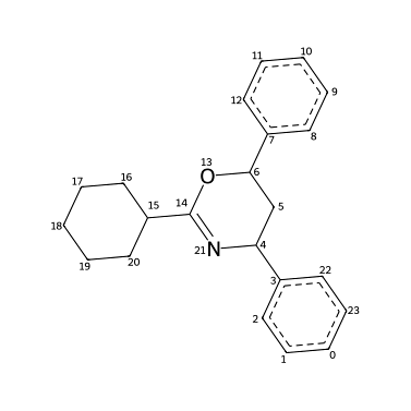 c1ccc(C2CC(c3ccccc3)OC(C3CCCCC3)=N2)cc1